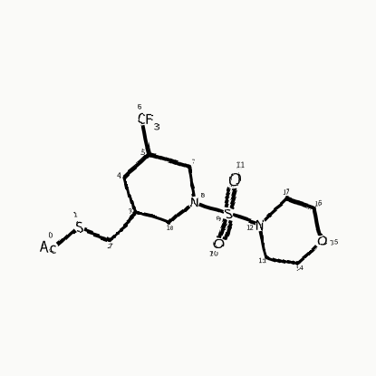 CC(=O)SCC1CC(C(F)(F)F)CN(S(=O)(=O)N2CCOCC2)C1